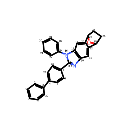 c1ccc(-c2ccc(-c3nc4cc5c(cc4n3-c3ccccc3)C3CCC5O3)cc2)cc1